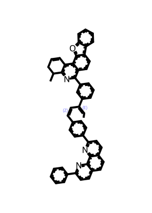 C/C=C(\C=C/c1ccc(-c2ccc3ccc4ccc(-c5ccccc5)nc4c3n2)cc1)c1cccc(-c2nc3c(c4c2ccc2c5ccccc5oc24)C=CCC3C)c1